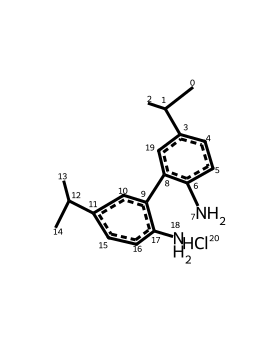 CC(C)c1ccc(N)c(-c2cc(C(C)C)ccc2N)c1.Cl